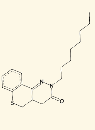 CCCCCCCCN1N=C2c3ccccc3SCC2CC1=O